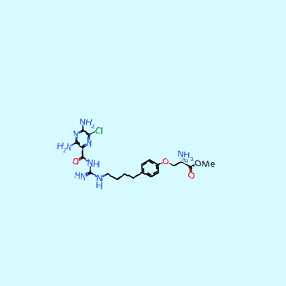 COC(=O)[C@@H](N)COc1ccc(CCCCNC(=N)NC(=O)c2nc(Cl)c(N)nc2N)cc1